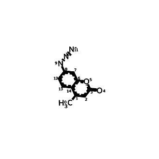 Cc1cc(=O)oc2cc(N=[N+]=[N-])ccc12